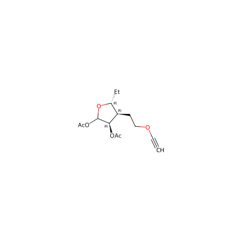 C#COCC[C@@H]1[C@@H](CC)OC(OC(C)=O)[C@@H]1OC(C)=O